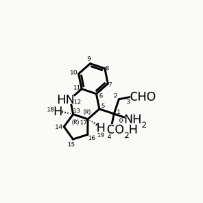 NC(CC=O)(C(=O)O)C1c2ccccc2N[C@@H]2CCC[C@H]12